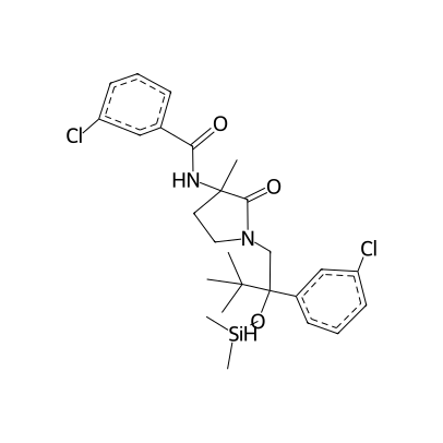 C[SiH](C)OC(CN1CCC(C)(NC(=O)c2cccc(Cl)c2)C1=O)(c1cccc(Cl)c1)C(C)(C)C